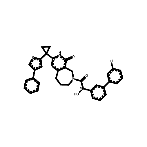 O=C([C@H](O)c1cccc(-c2cccc(Cl)c2)c1)N1CCCc2nc(C3(c4cc(-c5ccccc5)cs4)CC3)[nH]c(=O)c2C1